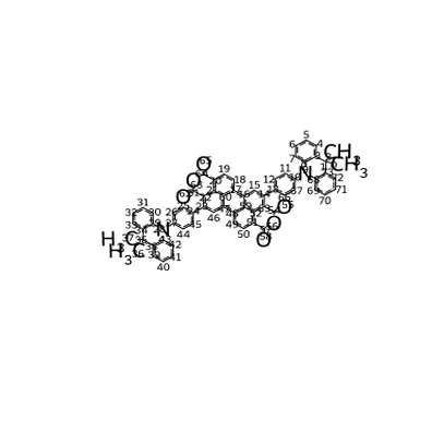 CC1(C)c2ccccc2N(c2ccc(-c3cc4c5ccc6c7c(c(-c8ccc(N9c%10ccccc%10C(C)(C)c%10ccccc%109)cc8)cc(c8ccc9c(c3C(=O)OC9=O)c84)c75)C(=O)OC6=O)cc2)c2ccccc21